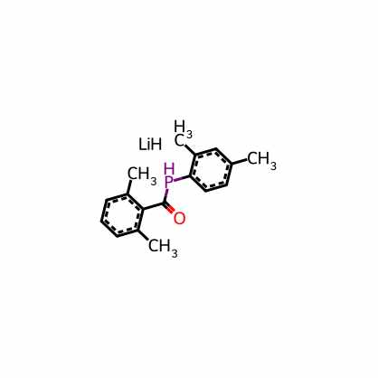 Cc1ccc(PC(=O)c2c(C)cccc2C)c(C)c1.[LiH]